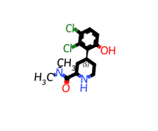 CN(C)C(=O)C1C[C@@H](c2c(O)ccc(Cl)c2Cl)CCN1